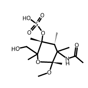 CO[C@]1(C)OC(C)(CO)[C@](C)(OS(=O)(=O)O)[C@H](C)C1(C)NC(C)=O